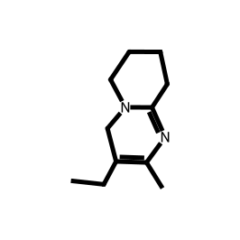 CCC1=C(C)N=C2CCCCN2C1